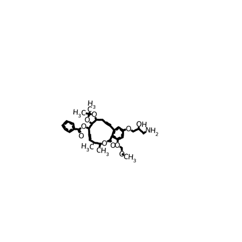 COCOc1cc(OCC(O)CN)cc2c1C(=O)OC(C)[C@H](C)/C=C\C(OC(=O)c1ccccc1)C1OC(C)(C)OC1C/C=C/2